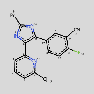 Cc1cccc(-c2[nH]c(C(C)C)nc2-c2ccc(F)c(C#N)c2)n1